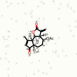 C=C1C(=O)O[C@@H]2[C@H]3C(C)=CC(=O)[C@H]3[C@@H](C)C[C@H](OC(C)=O)[C@@H]12